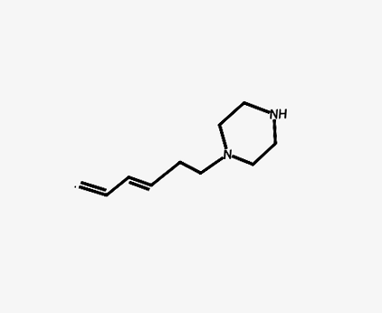 [CH]=C/C=C/CCN1CCNCC1